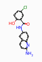 Nc1ccc2cc(NC(=O)c3cc(Cl)ccc3O)ccc2n1